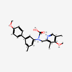 COc1ccc(-c2cc(C)cc(N(Cc3ncc(C)c(OC)c3C)C(=O)O)c2)cc1